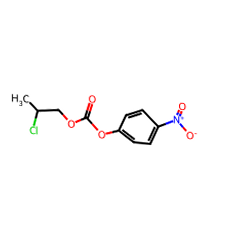 CC(Cl)COC(=O)Oc1ccc([N+](=O)[O-])cc1